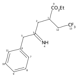 CCOC(=O)C(CC(=N)Cc1ccccc1)CC(F)(F)F